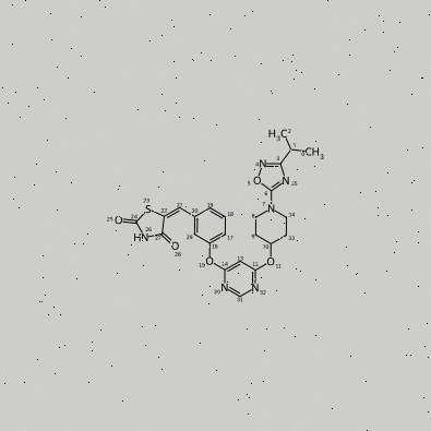 CC(C)c1noc(N2CCC(Oc3cc(Oc4cccc(/C=C5/SC(=O)NC5=O)c4)ncn3)CC2)n1